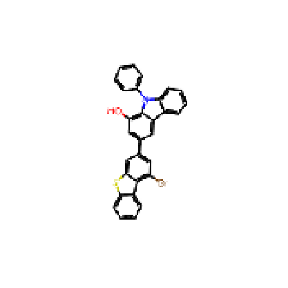 Oc1cc(-c2cc(Br)c3c(c2)sc2ccccc23)cc2c3ccccc3n(-c3ccccc3)c12